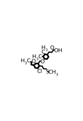 CSCCCc1c(Cl)cc2cc(C)oc2c1COc1ccc(CCC(=O)O)c(C)c1C